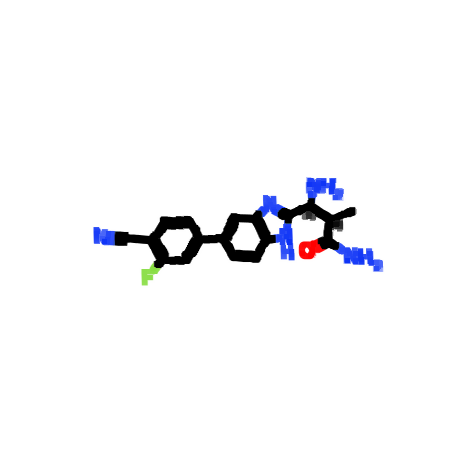 C[C@@H](C(N)=O)[C@H](N)c1nc2cc(-c3ccc(C#N)c(F)c3)ccc2[nH]1